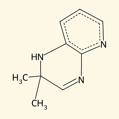 CC1(C)C=Nc2ncccc2N1